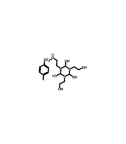 Cc1ccc(S(=O)(=O)O)cc1.OCCN1C(O)N(CCO)C(O)N(CCO)C1O